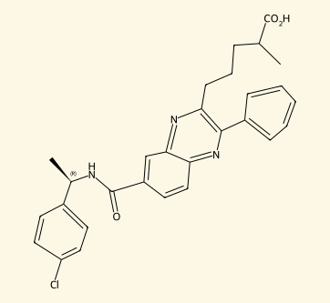 CC(CCCc1nc2cc(C(=O)N[C@H](C)c3ccc(Cl)cc3)ccc2nc1-c1ccccc1)C(=O)O